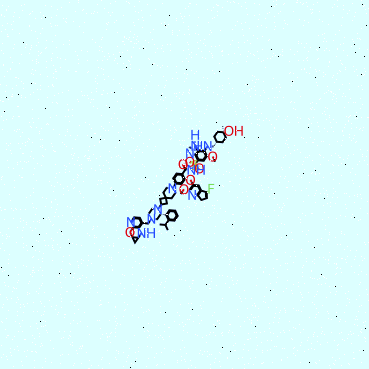 COc1cc(S(=O)(=O)NC(=O)c2ccc(N3CCC4(CC3)CC(N3CCN(Cc5ccnc6c5NC5CC5O6)C[C@H]3c3ccccc3C(C)C)C4)cc2Oc2cc3c(nc2OC)CC=C3F)c2nc[nH]c2c1NC[C@H]1CC[C@](C)(O)CC1